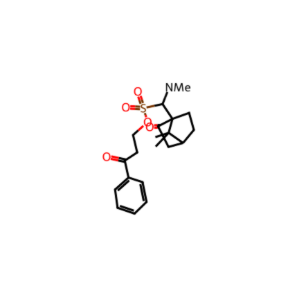 CNC(C12CCC(CC1=O)C2(C)C)S(=O)(=O)OCCC(=O)c1ccccc1